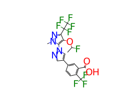 CC(F)Oc1c(C(F)(F)C(F)(F)F)nn(C)c1-n1cc(-c2ccc(C(F)(F)F)c(C(=O)O)c2)cn1